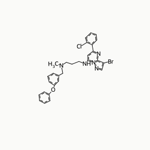 CN(CCCNc1cc(-c2ccccc2Cl)nc2c(Br)cnn12)Cc1cccc(Oc2ccccc2)c1